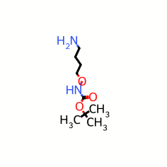 CC(C)(C)OC(=O)NOCCCCN